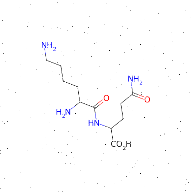 NCCCCC(N)C(=O)NC(CCC(N)=O)C(=O)O